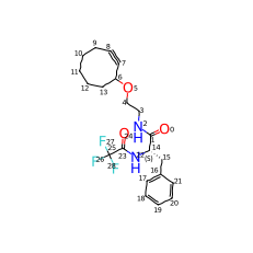 O=C(NCCOC1C#CCCCCC1)[C@H](Cc1ccccc1)NC(=O)C(F)(F)F